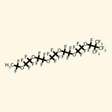 CC(F)(F)OC(F)(F)C(F)(F)OC(F)(F)C(F)(F)OC(F)(F)C(F)(F)OC(F)(F)C(F)(F)OC(F)(F)C(F)(F)OC(F)(F)C(C(F)(F)F)(C(F)(F)F)C(F)(F)F